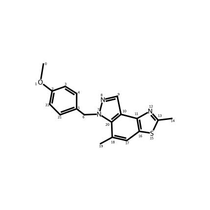 COc1ccc(Cn2ncc3c4nc(C)sc4cc(C)c32)cc1